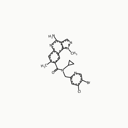 Cc1cc2nc(N)c3cnn(C)c3c2cc1C(=O)N(Cc1cc(Cl)c(Br)cn1)C1CC1